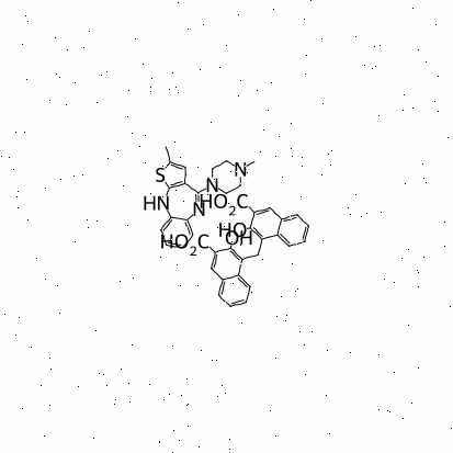 Cc1cc2c(s1)Nc1ccccc1N=C2N1CCN(C)CC1.O=C(O)c1cc2ccccc2c(Cc2c(O)c(C(=O)O)cc3ccccc23)c1O